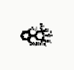 CC1(C)CC(c2c(C(=O)O)cccc2C(=O)O)CC(C)(C)N1O